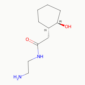 NCCNC(=O)C[C@@H]1CCCC[C@H]1O